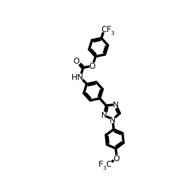 O=C(Nc1ccc(-c2ncn(-c3ccc(OC(F)(F)F)cc3)n2)cc1)Oc1ccc(C(F)(F)F)cc1